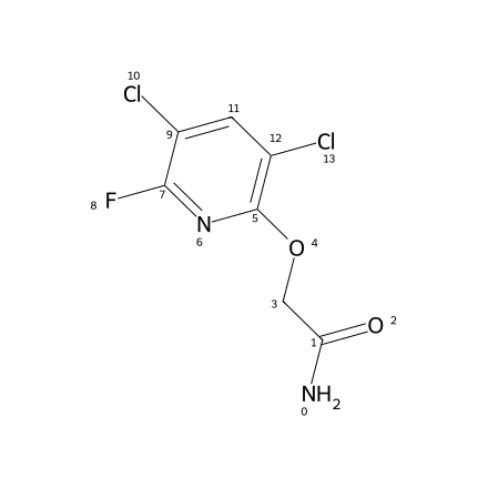 NC(=O)COc1nc(F)c(Cl)cc1Cl